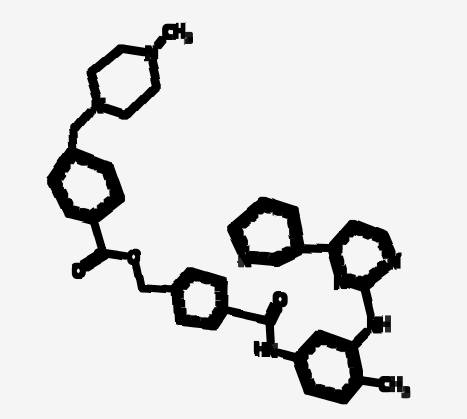 Cc1ccc(NC(=O)c2ccc(COC(=O)c3ccc(CN4CCN(C)CC4)cc3)cc2)cc1Nc1nccc(-c2cccnc2)n1